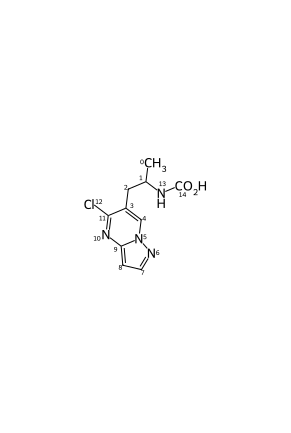 CC(Cc1cn2nccc2nc1Cl)NC(=O)O